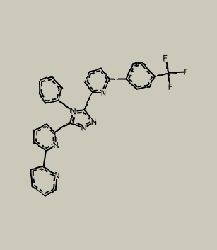 FC(F)(F)c1ccc(-c2cccc(-c3nnc(-c4cccc(-c5ccccn5)n4)n3-c3ccccc3)n2)cc1